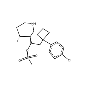 C[C@@H]1CCNC[C@H]1C(CC1(c2ccc(Cl)cc2)CCC1)OS(C)(=O)=O